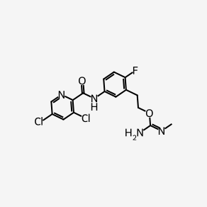 C/N=C(/N)OCCc1cc(NC(=O)c2ncc(Cl)cc2Cl)ccc1F